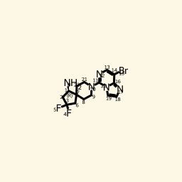 N[C@@H]1CC(F)(F)CC12CCN(c1ncc(Br)c3nccn13)CC2